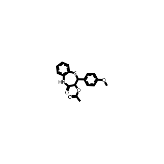 COc1ccc(C2Sc3ccccc3NC(=O)C2OC(C)=O)cc1